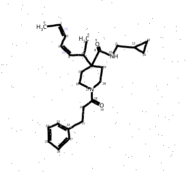 C/C=C\C=C/C(C)C1(C(=O)NCC2CC2)CCN(C(=O)CCc2ccccc2)CC1